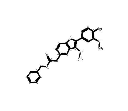 COc1cc(-c2oc3ccc(CC(=O)OCc4ccccc4)cc3c2SC)ccc1O